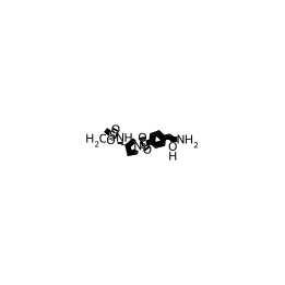 C=CS(=O)(=O)NC[C@H]1CCN(S(=O)(=O)c2ccc(CC(N)O)cc2)C1